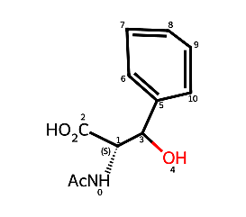 CC(=O)N[C@H](C(=O)O)C(O)c1ccccc1